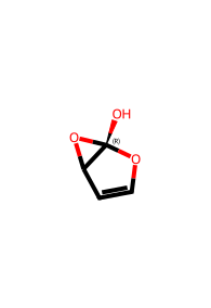 O[C@@]12OC=CC1O2